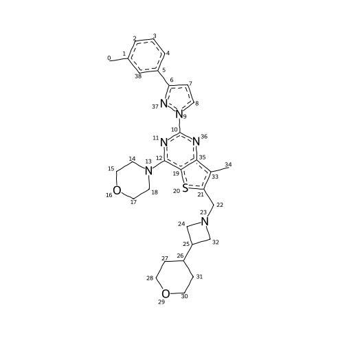 Cc1cccc(-c2ccn(-c3nc(N4CCOCC4)c4sc(CN5CC(C6CCOCC6)C5)c(C)c4n3)n2)c1